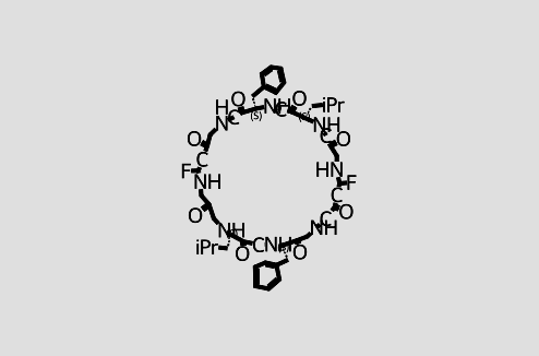 CC(C)C[C@@H]1NCC(=O)CNC(F)CC(=O)CNCC(=O)[C@H](Cc2ccccc2)NCC(=O)[C@H](CC(C)C)NCC(=O)CNC(F)CC(=O)CNCC(=O)[C@H](Cc2ccccc2)NCC1=O